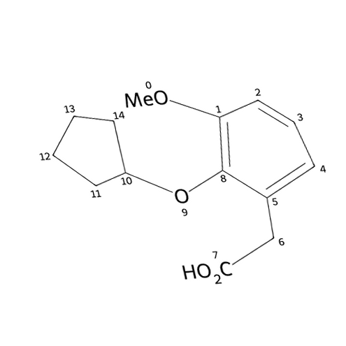 COc1cccc(CC(=O)O)c1OC1CCCC1